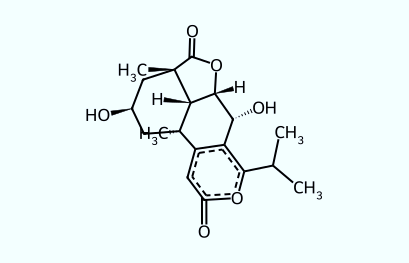 CC(C)c1oc(=O)cc2c1[C@@H](O)[C@H]1OC(=O)[C@@]3(C)C[C@H](O)C[C@@]2(C)[C@@H]13